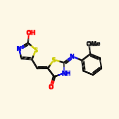 COc1ccccc1N=C1NC(=O)C(=Cc2cnc(O)s2)S1